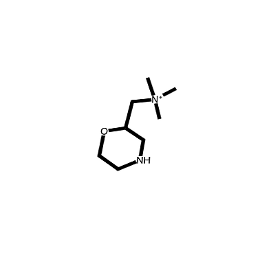 C[N+](C)(C)CC1CNCCO1